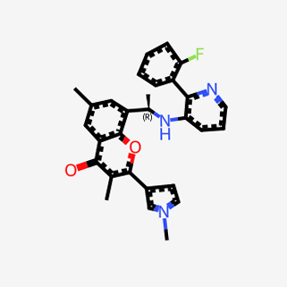 Cc1cc([C@@H](C)Nc2cccnc2-c2ccccc2F)c2oc(-c3ccn(C)c3)c(C)c(=O)c2c1